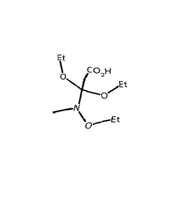 CCON(C)C(OCC)(OCC)C(=O)O